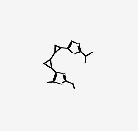 CCc1nc(C2CC2C2CC2c2cnc(C(C)C)s2)c(C)s1